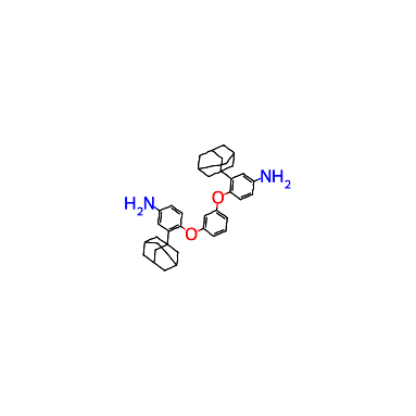 Nc1ccc(Oc2cccc(Oc3ccc(N)cc3C34CC5CC(CC(C5)C3)C4)c2)c(C23CC4CC(CC(C4)C2)C3)c1